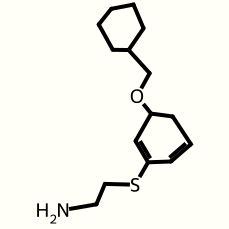 NCCSC1=CC(OCC2CCCCC2)CC=C1